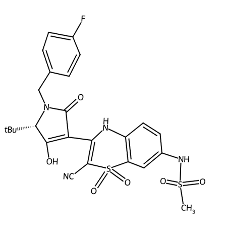 CC(C)(C)[C@H]1C(O)=C(C2=C(C#N)S(=O)(=O)c3cc(NS(C)(=O)=O)ccc3N2)C(=O)N1Cc1ccc(F)cc1